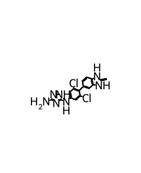 C=C1Nc2ccc(-c3c(Cl)cc(Nc4nc(N)n[nH]4)cc3Cl)cc2N1